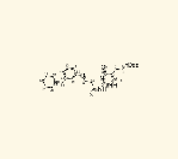 CCCCCCCCCCCCc1c(C)[nH]c(NC(C)CCOc2cccc(CN3CCCCC3)c2)nc1=O